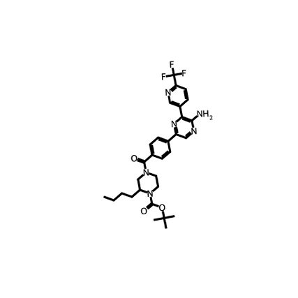 CCCCC1CN(C(=O)c2ccc(-c3cnc(N)c(-c4ccc(C(F)(F)F)nc4)n3)cc2)CCN1C(=O)OC(C)(C)C